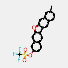 Cc1ccc2cc3c(cc2c1)oc1cc2cc(OS(=O)(=O)C(F)(F)F)ccc2cc13